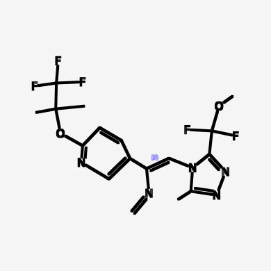 C=N/C(=C\n1c(C)nnc1C(F)(F)OC)c1ccc(OC(C)(C)C(F)(F)F)nc1